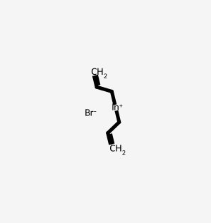 C=C[CH2][In+][CH2]C=C.[Br-]